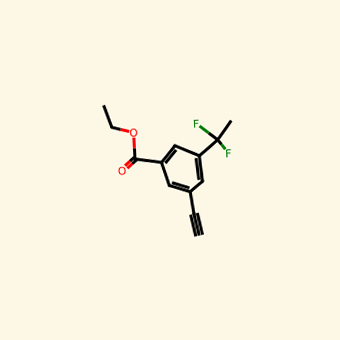 C#Cc1cc(C(=O)OCC)cc(C(C)(F)F)c1